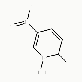 NN1C=C([N+](=O)[O-])C=CC1Cl